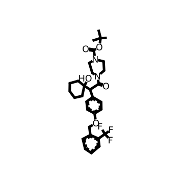 CC(C)(C)OC(=O)N1CCN(C(=O)C(c2ccc(OCc3ccccc3C(F)(F)F)cc2)C2(O)CCCCC2)CC1